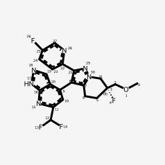 COC[C@@]1(F)CCc2c(-c3cc(C(F)F)nc4[nH]ncc34)c(-c3ccc(F)cn3)nn2C1